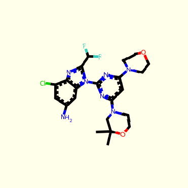 CC1(C)CN(c2cc(N3CCOCC3)nc(-n3c(C(F)F)nc4c(Cl)cc(N)cc43)n2)CCO1